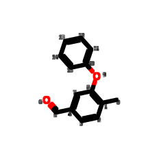 Cc1ccc(C=O)cc1Oc1ccccc1